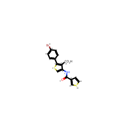 O=C(Nc1csc(-c2ccc(Br)cc2)c1C(=O)O)c1ccsc1